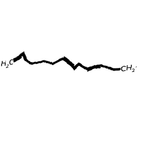 [CH2]CC=CCC=CCCCC=C